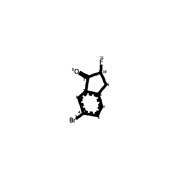 O=C1c2cc(Br)ccc2CC1F